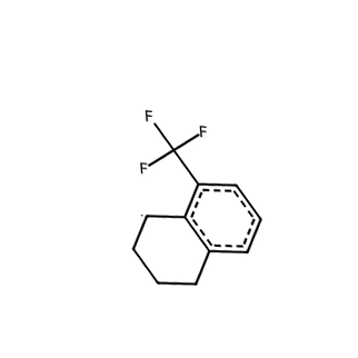 FC(F)(F)c1cccc2c1[CH]CCC2